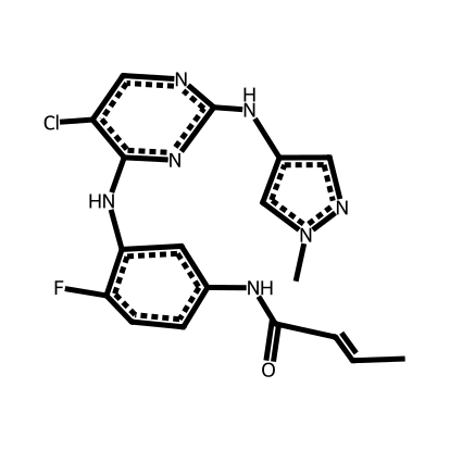 CC=CC(=O)Nc1ccc(F)c(Nc2nc(Nc3cnn(C)c3)ncc2Cl)c1